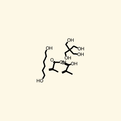 C=C(C)C(=O)O.C=C(C)C(=O)O.OCC(CO)(CO)CO.OCCCCCCO